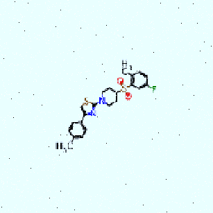 Cc1ccc(-c2csc(N3CCC(S(=O)(=O)c4cc(F)ccc4C)CC3)n2)cc1